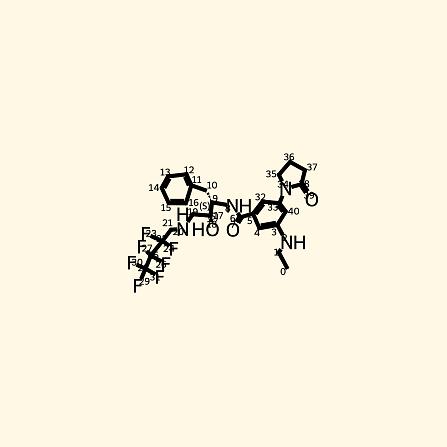 CCNc1cc(C(=O)N[C@@H](Cc2ccccc2)[C@@H](O)CNCC(F)(F)C(F)(F)C(F)(F)F)cc(N2CCCC2=O)c1